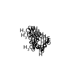 CCC(C)C([C@@H](CC(=O)N1CCC[C@H]1[C@H](OC)[C@@H](C)C(=O)NCC(=O)NS(=O)(=O)Cc1ccc(NC(=O)C(F)(F)F)cc1)OC)N(C)C(=O)[C@@H](NC(=O)C(C(C)C)N(C)C)C(C)C